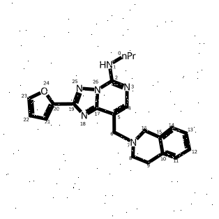 CCCNc1ncc(CN2CCc3ccccc3C2)c2nc(-c3ccco3)nn12